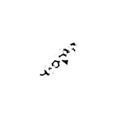 CCc1cnc(N2CCC(N(C(=O)c3cnc(-n4ccnc4C)cn3)C3CC3)CC2)nc1